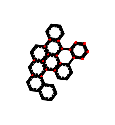 c1ccc(-c2ccccc2-c2c(-c3ccccc3)cccc2-c2ccccc2N(c2ccc(-c3cccc4ccccc34)cc2)c2ccccc2-c2ccccc2)cc1